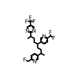 CC(CCC(CCC(C)c1ncc(C(F)(F)F)cn1)c1ccc(C(F)F)nc1)c1ccc(CF)nc1